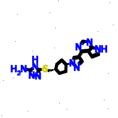 Nc1nnc(SC[C@H]2CC[C@@H](n3cc(-c4ncnc5[nH]ccc45)cn3)CC2)[nH]1